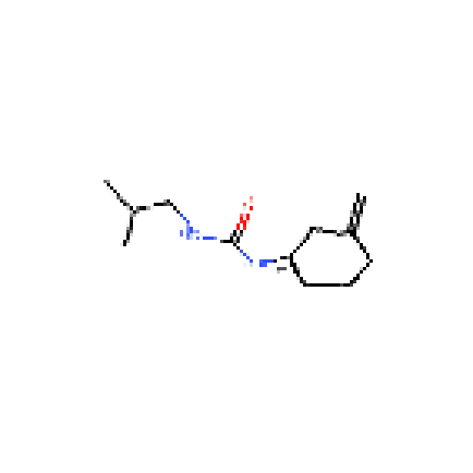 C=C1CCC[C@@H](NC(=O)NCC(C)C)C1